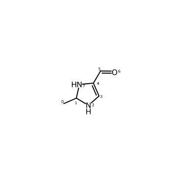 CC1NC=C(C=O)N1